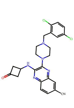 N#Cc1ccc2nc(NC3CC(=O)C3)c(N3CCN(Cc4cc(Cl)ccc4Cl)CC3)nc2c1